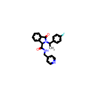 CC(c1ccc(F)cc1)N1C(=O)c2ccccc2C1C(=O)NCc1ccncc1